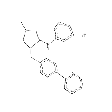 CC1CC(Cc2ccc(-c3ccccn3)cc2)C(Nc2ccccc2)C1.[H+]